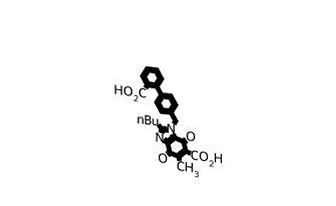 CCCCc1nc2c(n1Cc1ccc(-c3ccccc3C(=O)O)cc1)C(=O)C(C(=O)O)=C(C)C2=O